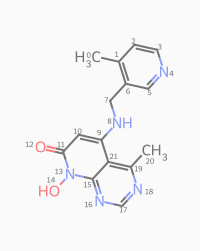 Cc1ccncc1CNc1cc(=O)n(O)c2ncnc(C)c12